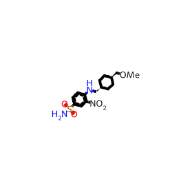 COC[C@H]1CC[C@H](CNc2ccc(S(N)(=O)=O)cc2[N+](=O)[O-])CC1